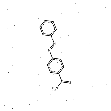 NC(=S)c1ccc(/N=N/c2ccccc2)cc1